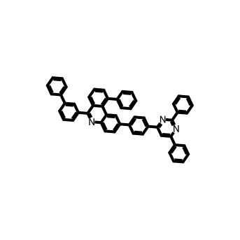 c1ccc(-c2cccc(-c3nc4ccc(-c5ccc(-c6cc(-c7ccccc7)nc(-c7ccccc7)n6)cc5)cc4c4c(-c5ccccc5)cccc34)c2)cc1